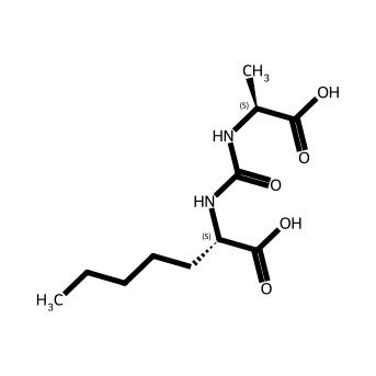 CCCCC[C@H](NC(=O)N[C@@H](C)C(=O)O)C(=O)O